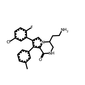 Cc1cccc(-c2c(-c3cc(Cl)ccc3F)cn3c2C(=O)NCC3CCN)c1